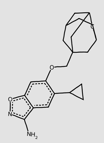 Nc1noc2cc(OCC34CC5CCC(CC(C5)C3)C4)c(C3CC3)cc12